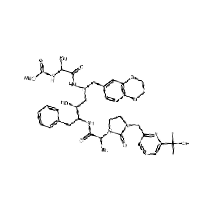 CCC(C)C(C(=O)NC(Cc1ccccc1)C(O)CN(Cc1ccc2c(c1)OCCO2)NC(=O)C(NC(=O)OC)C(C)(C)C)N1CCN(Cc2cccc(C(C)(C)O)n2)C1=O